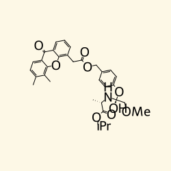 COC[C@](O)(N[C@@H](C)C(=O)OC(C)C)Oc1ccc(COC(=O)Cc2cccc3c(=O)c4ccc(C)c(C)c4oc23)cc1